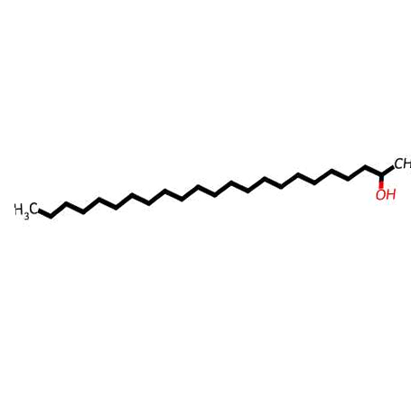 [CH2]C(O)CCCCCCCCCCCCCCCCCCCCC